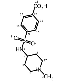 CN1CCC(NS(=O)(=O)c2ccc(C(=O)O)cc2)CC1